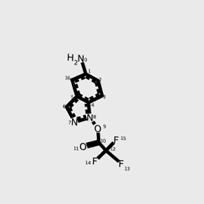 Nc1ccc2c(cnn2OC(=O)C(F)(F)F)c1